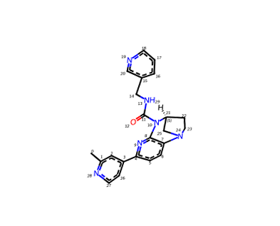 Cc1cc(-c2ccc3c(n2)N(C(=O)NCc2cccnc2)[C@H]2CCN3C2)ccn1